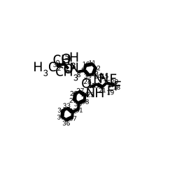 CC(C)(C)C(=O)ONCc1cccc(-n2nc(C(F)(F)F)cc2C(=O)Nc2cccc(Cc3ccccc3)c2)c1